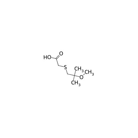 COC(C)(C)CSCC(=O)O